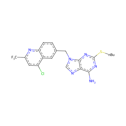 CCCCSc1nc(N)c2ncn(Cc3ccc4nc(C(F)(F)F)cc(Cl)c4c3)c2n1